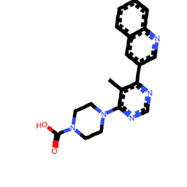 Cc1c(-c2cnc3ccccc3c2)ncnc1N1CCN(C(=O)O)CC1